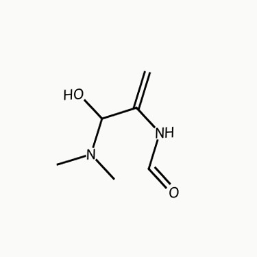 C=C(NC=O)C(O)N(C)C